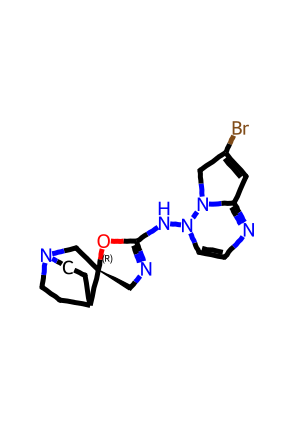 BrC1=CC2=NC=CN(NC3=NC[C@@]4(CN5CCC4CC5)O3)N2C1